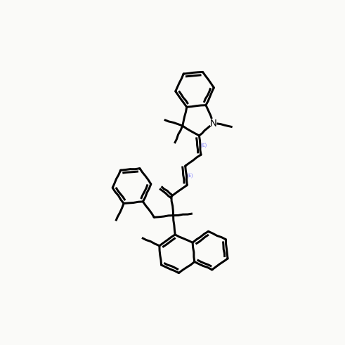 C=C(/C=C/C=C1/N(C)c2ccccc2C1(C)C)C(C)(Cc1ccccc1C)c1c(C)ccc2ccccc12